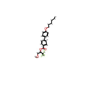 CCCCCCOc1ccc(-c2ccc(C(=O)OC(COC)C(F)(F)F)cc2)cc1